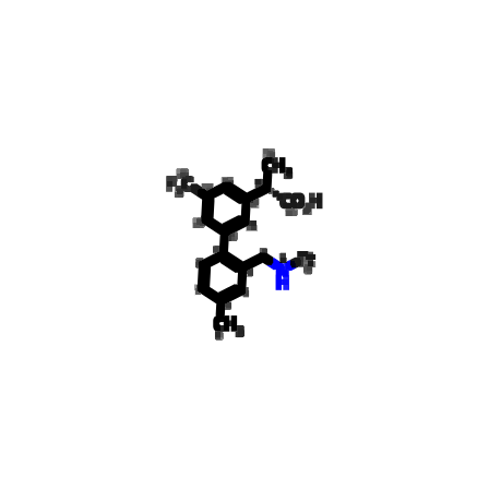 CCNCc1cc(C)ccc1-c1cc([C@H](C)C(=O)O)cc(C(F)(F)F)c1